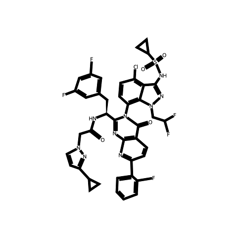 O=C(Cn1ccc(C2CC2)n1)N[C@@H](Cc1cc(F)cc(F)c1)c1nc2nc(-c3ccccc3F)ccc2c(=O)n1-c1ccc(Cl)c2c(NS(=O)(=O)C3CC3)nn(CC(F)F)c12